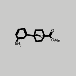 Bc1cccc(C23CCC(C(=O)OC)(CC2)CC3)c1